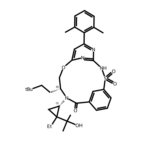 CCC1(C(C)(C)O)C[C@@H]1N1C(=O)c2cccc(c2)S(=O)(=O)Nc2nc(cc(-c3c(C)cccc3C)n2)OC[C@H]1CCC(C)(C)C